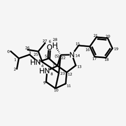 CC(C)CNC(=O)C12NCC3CC1CN(Cc1ccccc1)[C@H]2C3CC(C)C